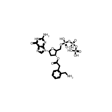 NCc1ccccc1CC(=O)O[C@@H]1C[C@H](n2cnc3c(=O)[nH]c(N)nc32)OC1COP(=O)(O)OP(=O)(O)OP(=O)(O)O